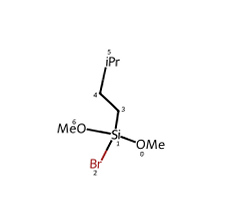 CO[Si](Br)(CCC(C)C)OC